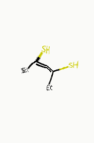 CC/C(S)=C(/S)CC